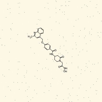 Cc1cc(COc2ccc(C(=O)N[C]3CCN(CC(=O)NO)C(=O)C3)cc2)c2ccccc2n1